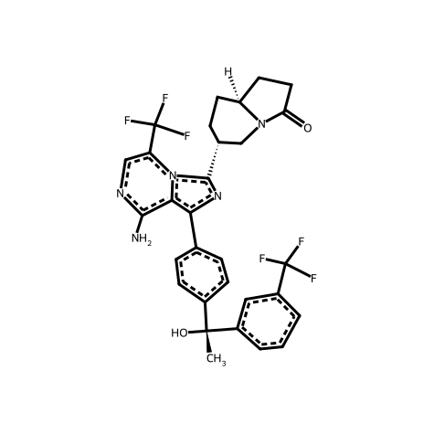 C[C@@](O)(c1ccc(-c2nc([C@@H]3CC[C@H]4CCC(=O)N4C3)n3c(C(F)(F)F)cnc(N)c23)cc1)c1cccc(C(F)(F)F)c1